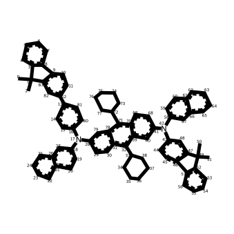 CC1(C)c2ccccc2-c2ccc(-c3ccc(N(c4ccc5ccccc5c4)c4ccc5c(C6CCCCC6)c6cc(N(c7ccc8c(c7)C(C)(C)c7ccccc7-8)c7ccc8ccccc8c7)ccc6c(C6CCCCC6)c5c4)cc3)cc21